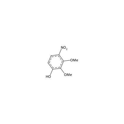 COc1c(O)ccc([N+](=O)[O-])c1OC